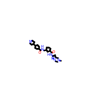 CN1CCn2nc(NC(=O)c3cccc(CNC(=O)c4ccc(-c5ccncc5)cc4)c3)cc2C1